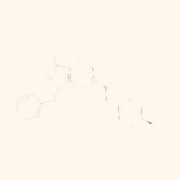 O=C(C[C@H]1CC[C@H](C(=O)O)CC1)N1CCc2c(C(F)(F)F)nn(Cc3ccncc3)c2C1